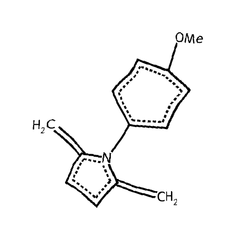 C=c1ccc(=C)n1-c1ccc(OC)cc1